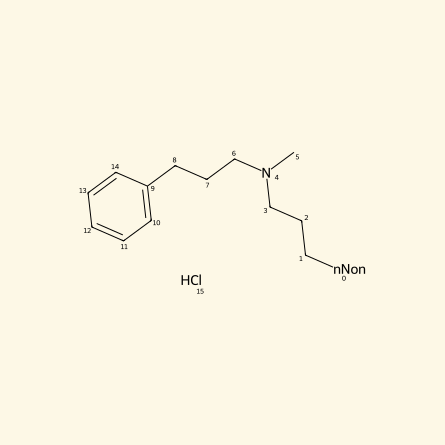 CCCCCCCCCCCCN(C)CCCc1ccccc1.Cl